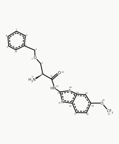 N[C@@H](COCc1ccccc1)C(=O)Nc1nc2ccc(OC(F)(F)F)cc2s1